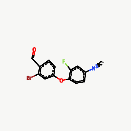 [C-]#[N+]c1ccc(Oc2ccc(C=O)c(Br)c2)c(F)c1